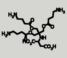 NCCCC(=O)OCC(COC(=O)CCCN)(COC(=O)CCCN)NC(CC(=O)O)C(=O)O